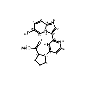 COC(=O)C1CCCN1c1ccnc(-c2cnc3ccc(F)cn23)n1